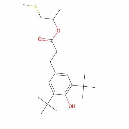 CSCC(C)OC(=O)CCc1cc(C(C)(C)C)c(O)c(C(C)(C)C)c1